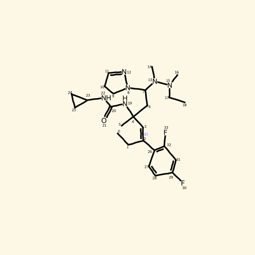 CC/C(=C\C(C)(CC(N1CCC=N1)N(C)N(C)CC)NC(=O)NC1CC1)c1ccc(F)cc1F